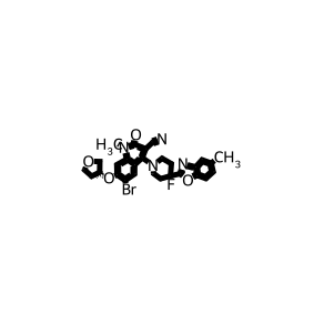 Cc1ccc2oc(C3(F)CCN(c4c(C#N)c(=O)n(C)c5cc(O[C@@H]6CCOC6)c(Br)cc45)CC3)nc2c1